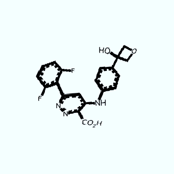 O=C(O)c1nnc(-c2c(F)cccc2F)cc1Nc1ccc(C2(O)COC2)cc1